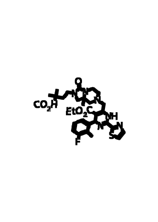 CCOC(=O)C1=C(CN2CCN3C(=O)N(CCC(C)(C)C(=O)O)CC3(C)C2)NC(c2nccs2)=NC1c1cccc(F)c1C